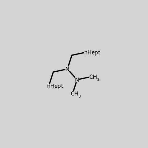 CCCCCCCCN(CCCCCCCC)N(C)C